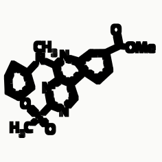 COC(=O)c1ccc2c(c1)nc(N(C)c1ccccc1)c1nc(S(C)(=O)=O)ncc12